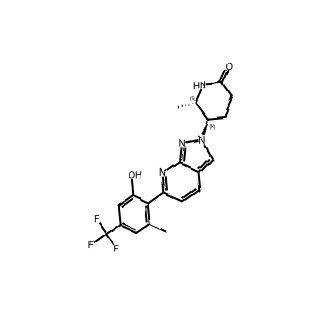 Cc1cc(C(F)(F)F)cc(O)c1-c1ccc2cn([C@@H]3CCC(=O)N[C@H]3C)nc2n1